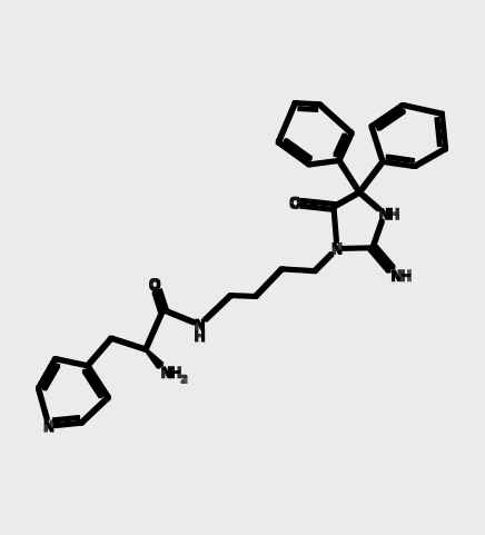 N=C1NC(c2ccccc2)(c2ccccc2)C(=O)N1CCCCNC(=O)[C@@H](N)Cc1ccncc1